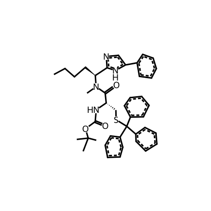 CCCC[C@@H](c1ncc(-c2ccccc2)[nH]1)N(C)C(=O)[C@H](CSC(c1ccccc1)(c1ccccc1)c1ccccc1)NC(=O)OC(C)(C)C